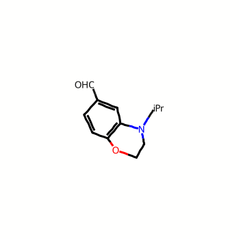 CC(C)N1CCOc2ccc(C=O)cc21